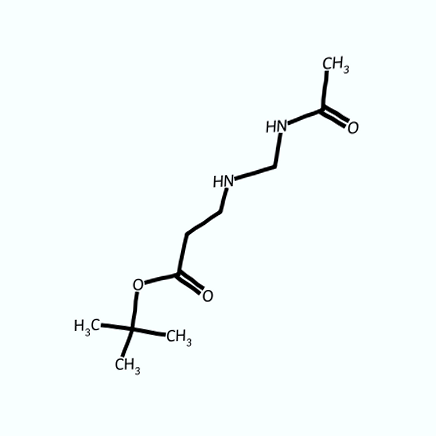 CC(=O)NCNCCC(=O)OC(C)(C)C